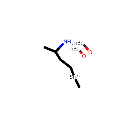 CCCC[O-].CCCC[O-].[CH3][Sn+2][CH2]CC(C)N